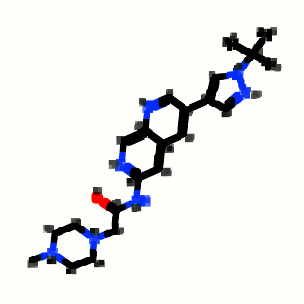 [2H]C([2H])([2H])n1cc(-c2cnc3cnc(NC(=O)CN4CCN(C)CC4)cc3c2)cn1